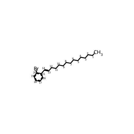 CCCCCCCCCCCCCC=Cc1ccccc1Br